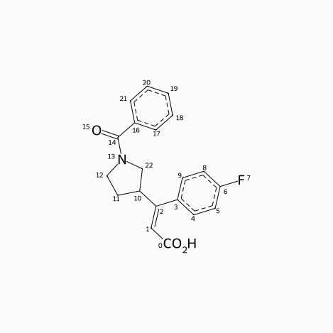 O=C(O)/C=C(\c1ccc(F)cc1)C1CCN(C(=O)c2ccccc2)C1